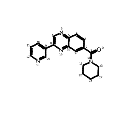 O=C(c1ccc2ncc(-c3cccnc3)nc2c1)N1CCCCC1